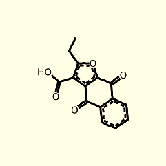 CCc1oc2c(c1C(=O)O)C(=O)c1ccccc1C2=O